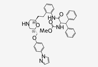 COC(=O)NC(C(=O)Nc1ccccc1CC[C@@H]1CNC[C@@H](COc2ccc(-n3cccn3)cc2)O1)C(c1ccccc1)c1ccccc1